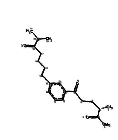 COC(=O)[C@@H](C)CCC(=O)c1cccc(CCCCC(=O)N(C)C)c1